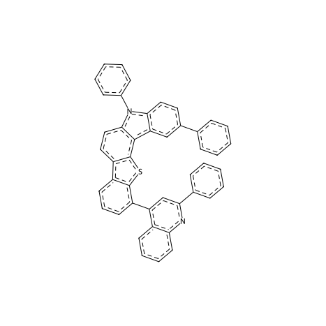 c1ccc(-c2ccc3c(c2)c2c4sc5c(-c6cc(-c7ccccc7)nc7ccccc67)cccc5c4ccc2n3-c2ccccc2)cc1